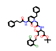 CC(C)(C)OC(=O)CC(NC(=O)Cn1c(Cc2ccccc2)ccc(NC(=O)CCc2ccccc2)c1=O)C(=O)COCc1c(Cl)cccc1Cl